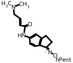 CCCCCO/N=C1\CCc2cc(NC(=O)/C=C/CN(C)C)ccc21